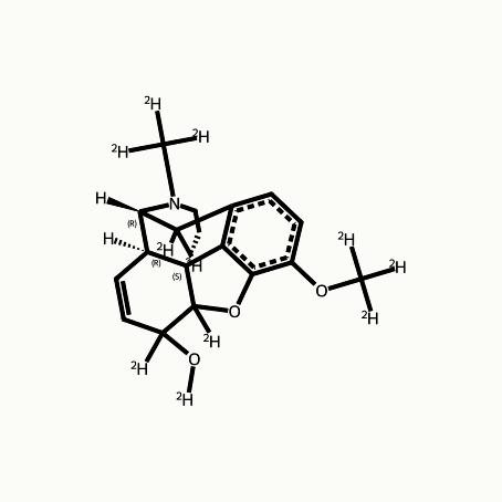 [2H]OC1([2H])C=C[C@H]2[C@@H]3N(C([2H])([2H])[2H])CC[C@@]24c2c(ccc(OC([2H])([2H])[2H])c2OC14[2H])C3([2H])[2H]